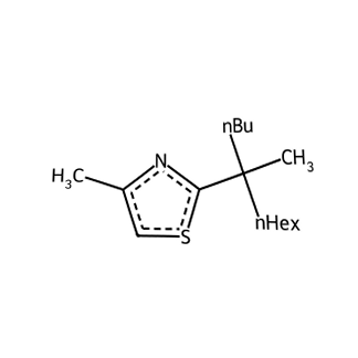 CCCCCCC(C)(CCCC)c1nc(C)cs1